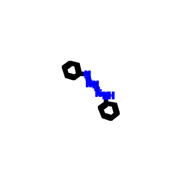 c1ccc(N=NN=NNc2ccccc2)cc1